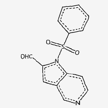 O=Cc1cc2cnccc2n1S(=O)(=O)c1ccccc1